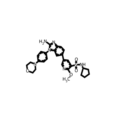 COc1ncc(-c2ccc3nc(N)n(-c4ccc(N5CCOCC5)cc4)c3c2)cc1S(=O)(=O)NC1CCCC1